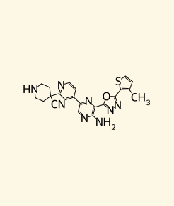 Cc1ccsc1-c1nnc(-c2nc(-c3ccnc(C4(C#N)CCNCC4)c3)cnc2N)o1